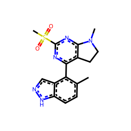 Cc1ccc2[nH]ncc2c1-c1nc(S(C)(=O)=O)nc2c1CCN2C